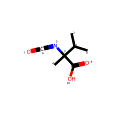 CC(C)C(C)(N=C=O)C(=O)O